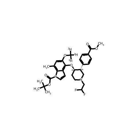 [2H]C([2H])([2H])Oc1cc(C)c2c(ccn2C(=O)OC(C)(C)C)c1O[C@@H]1CCN(CC(F)F)C[C@H]1c1ccc(C(=O)OC)cc1